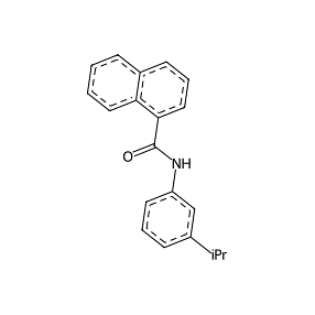 CC(C)c1cccc(NC(=O)c2cccc3ccccc23)c1